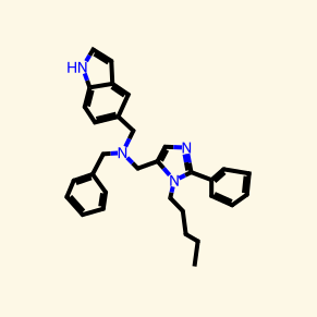 CCCCCn1c(CN(Cc2ccccc2)Cc2ccc3[nH]ccc3c2)cnc1-c1ccccc1